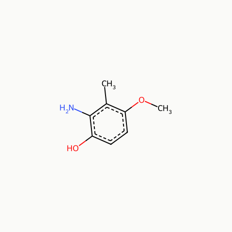 COc1ccc(O)c(N)c1C